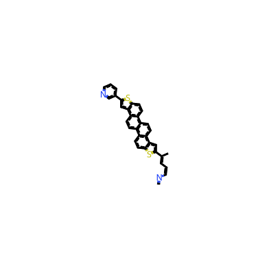 C=N/C=C\C=C(/C)c1cc2c(ccc3c2ccc2c4ccc5sc(-c6cccnc6)cc5c4ccc32)s1